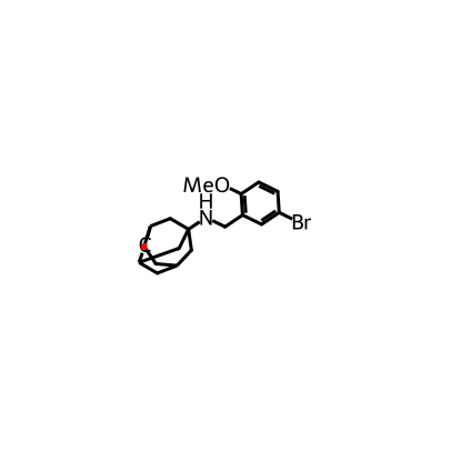 COc1ccc(Br)cc1CNC12CC3CCC(CC(C3)C1)C2